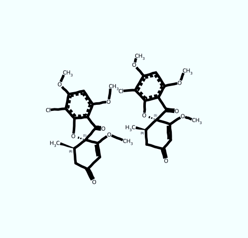 COC1=CC(=O)C[C@@H](C)[C@]12Oc1c(Cl)c(OC)cc(OC)c1C2=O.COC1=CC(=O)C[C@@H](C)[C@]12Oc1c(Cl)c(OC)cc(OC)c1C2=O